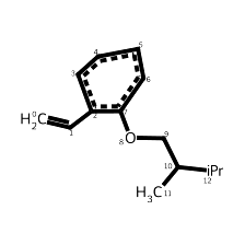 C=Cc1ccccc1OCC(C)C(C)C